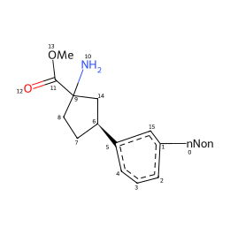 CCCCCCCCCc1cccc([C@H]2CCC(N)(C(=O)OC)C2)c1